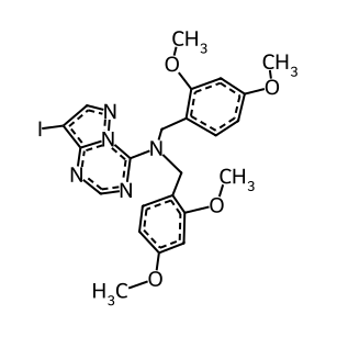 COc1ccc(CN(Cc2ccc(OC)cc2OC)c2ncnc3c(I)cnn23)c(OC)c1